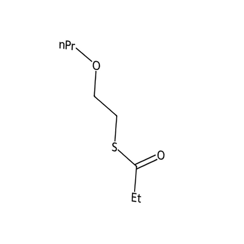 [CH2]CCOCCSC(=O)CC